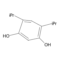 CC(C)c1cc(C(C)C)c(O)cc1O